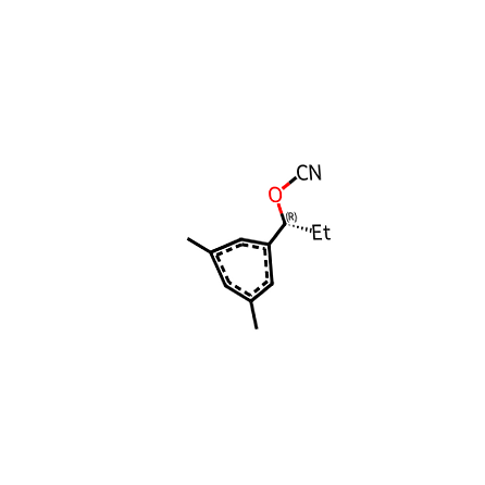 CC[C@@H](OC#N)c1cc(C)cc(C)c1